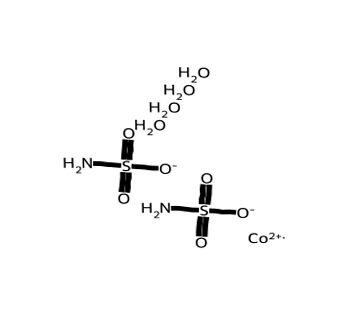 NS(=O)(=O)[O-].NS(=O)(=O)[O-].O.O.O.O.[Co+2]